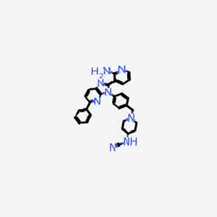 N#CNC1CCN(Cc2ccc(-n3c(-c4cccnc4N)nc4ccc(-c5ccccc5)nc43)cc2)CC1